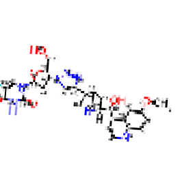 COc1ccc2nccc([C@H](O)[C@H]3CC4CC[N@]3CC4c3cn(C4CC(n5cc(F)c(=O)[nH]c5=O)OC4CO)nn3)c2c1